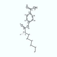 CCCCCC[C@H](C)C(=O)Oc1ccc(C(=O)O)cc1